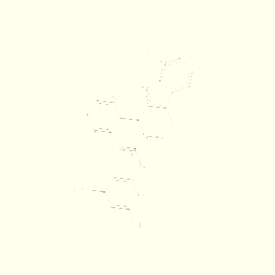 Cc1cc(C)cc(NC(=O)N2CCc3c4cccn(C)c-4nc3C2c2ccccc2F)c1